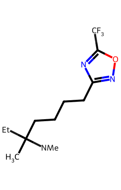 CCC(C)(CCCCc1noc(C(F)(F)F)n1)NC